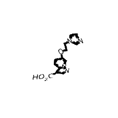 O=C(O)c1cnn2cc(OCCn3ccnc3)ccc12